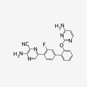 N#Cc1nc(-c2ccc(-c3ccccc3Oc3nccc(N)n3)cc2F)cnc1N